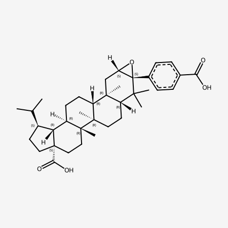 CC(C)[C@@H]1CC[C@]2(C(=O)O)CC[C@]3(C)[C@H](CC[C@@H]4[C@@]5(C)C[C@@H]6O[C@]6(c6ccc(C(=O)O)cc6)C(C)(C)[C@@H]5CC[C@]43C)[C@@H]12